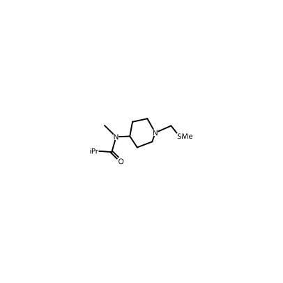 CSCN1CCC(N(C)C(=O)C(C)C)CC1